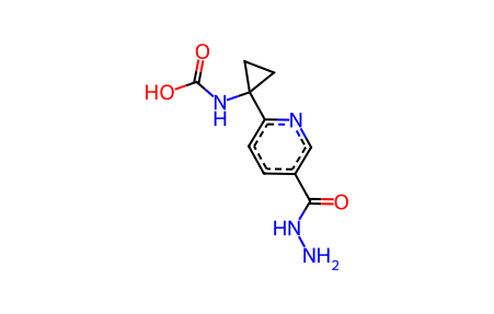 NNC(=O)c1ccc(C2(NC(=O)O)CC2)nc1